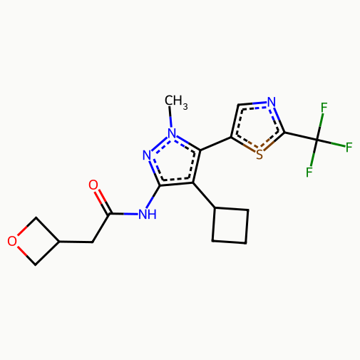 Cn1nc(NC(=O)CC2COC2)c(C2CCC2)c1-c1cnc(C(F)(F)F)s1